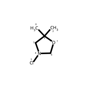 CC1(C)CN(Cl)CO1